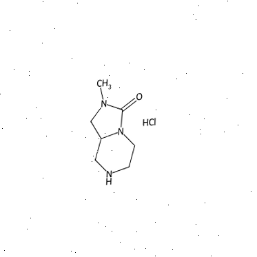 CN1CC2CNCCN2C1=O.Cl